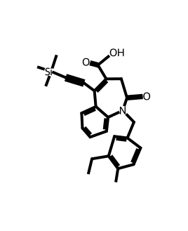 CCc1cc(CN2C(=O)CC(C(=O)O)=C(C#C[Si](C)(C)C)c3ccccc32)ccc1C